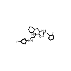 Cc1ccccc1CC(=O)NC(CC1CCCCC1)C(=O)NCCNc1ccc(F)cc1